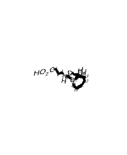 O=C(O)CCCNC1=B[C@]23CCC#CCC[C@H]2[C@H]3CO1